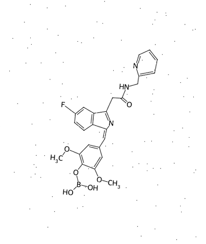 COc1cc(/C=C2/N=C(CC(=O)NCc3ccccn3)c3cc(F)ccc32)cc(OC)c1OB(O)O